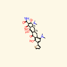 CN(C)c1cc(-c2cccs2)c(O)c2c1C[C@@H]1C[C@@H]3[C@@H](N(C)C)C(O)=C(C(N)=O)C(=O)[C@]3(O)C(O)=C1C2=O